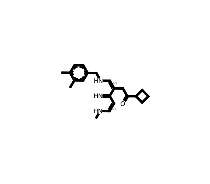 CN/C=C\C(=N)/C(=C\NCc1ccc(C)c(C)c1)CC(=O)C1CCC1